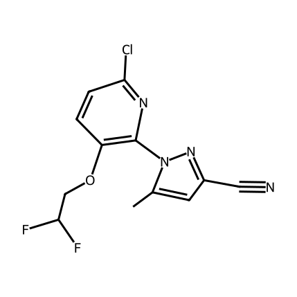 Cc1cc(C#N)nn1-c1nc(Cl)ccc1OCC(F)F